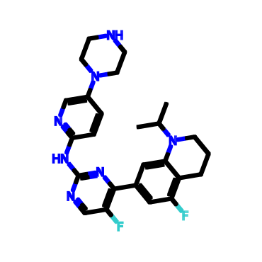 CC(C)N1CCCc2c(F)cc(-c3nc(Nc4ccc(N5CCNCC5)cn4)ncc3F)cc21